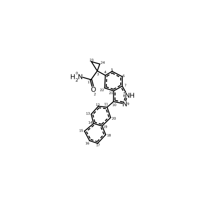 NC(=O)C1(c2ccc3[nH]nc(-c4ccc5ccccc5c4)c3c2)CC1